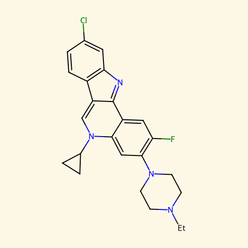 CCN1CCN(c2cc3c(cc2F)c2nc4cc(Cl)ccc4c-2cn3C2CC2)CC1